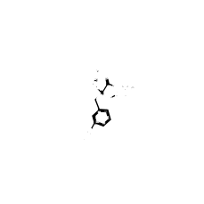 COC(=O)[C@@](Cc1cccc(N)c1)(N=C=O)OC(C)(C)C